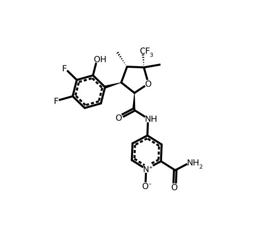 C[C@H]1[C@H](c2ccc(F)c(F)c2O)[C@H](C(=O)Nc2cc[n+]([O-])c(C(N)=O)c2)O[C@@]1(C)C(F)(F)F